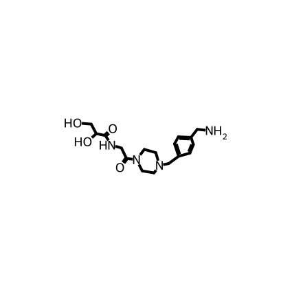 NCc1ccc(CN2CCN(C(=O)CNC(=O)C(O)CO)CC2)cc1